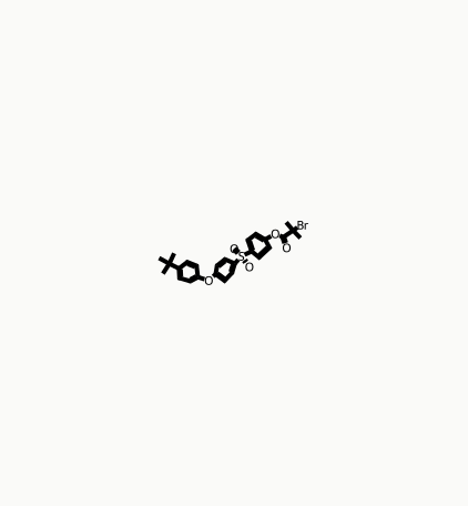 CC(C)(Br)C(=O)Oc1ccc(S(=O)(=O)c2ccc(Oc3ccc(C(C)(C)C)cc3)cc2)cc1